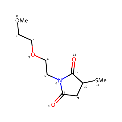 COCCOCCN1C(=O)CC(SC)C1=O